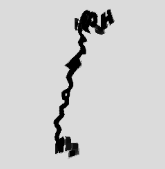 NCCCCCCOCCCCCCCCNC(=O)O